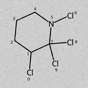 ClC1CCCN(Cl)C1(Cl)Cl